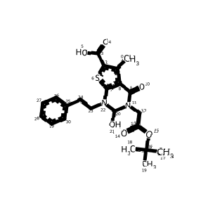 Cc1c(C(=O)O)sc2c1C(=O)N(CC(=O)OC(C)(C)C)C(O)N2CCc1ccccc1